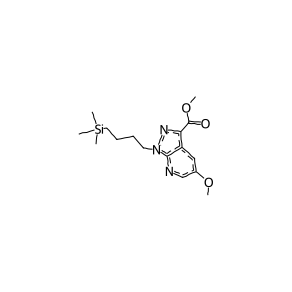 COC(=O)c1nn(CCCC[Si](C)(C)C)c2ncc(OC)cc12